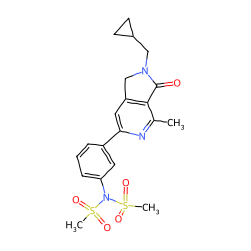 Cc1nc(-c2cccc(N(S(C)(=O)=O)S(C)(=O)=O)c2)cc2c1C(=O)N(CC1CC1)C2